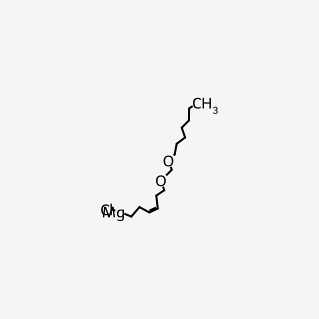 CCCCCCCOCOCC/C=C\C[CH2][Mg][Cl]